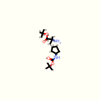 CC(C)(C)OC(=O)NC1CC[C@@H](CC(C)(N)C(=O)OC(C)(C)C)C1